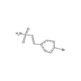 NS(=O)(=O)C=Cc1ccc(Br)cc1